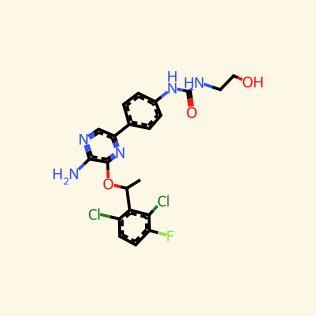 CC(Oc1nc(-c2ccc(NC(=O)NCCO)cc2)cnc1N)c1c(Cl)ccc(F)c1Cl